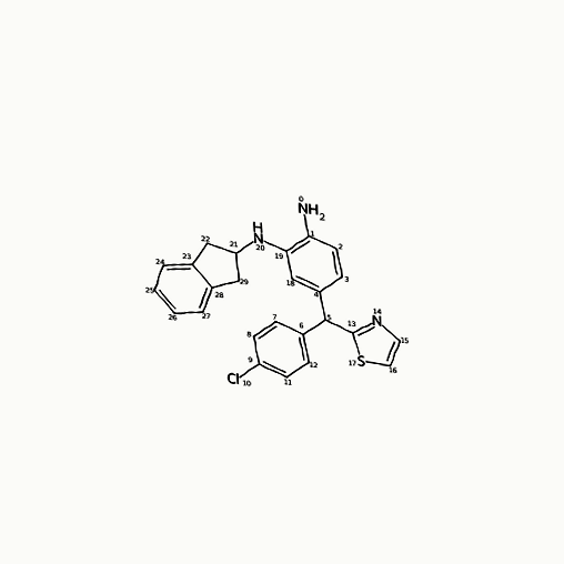 Nc1ccc(C(c2ccc(Cl)cc2)c2nccs2)cc1NC1Cc2ccccc2C1